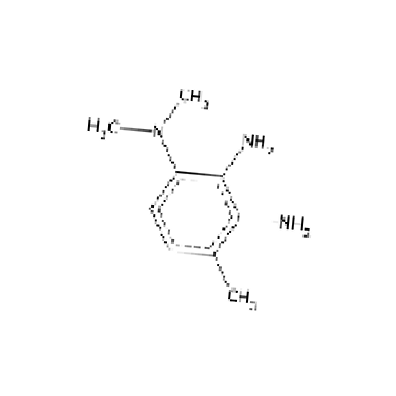 Cc1ccc(N(C)C)c(N)c1N